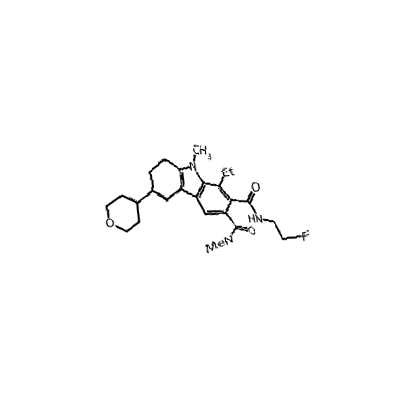 CCc1c(C(=O)NCCF)c(C(=O)NC)cc2c3c(n(C)c12)CCC(C1CCOCC1)C3